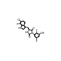 N#Cc1cc(F)cc(N2C(=O)NC(=Cc3c[nH]c4c(F)c(Cl)ccc34)C2=O)c1F